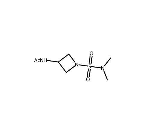 CC(=O)NC1CN(S(=O)(=O)N(C)C)C1